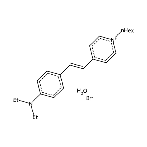 CCCCCC[n+]1ccc(/C=C/c2ccc(N(CC)CC)cc2)cc1.O.[Br-]